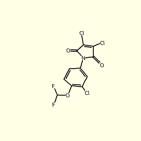 O=C1C(Cl)=C(Cl)C(=O)N1c1ccc(OC(F)F)c(Cl)c1